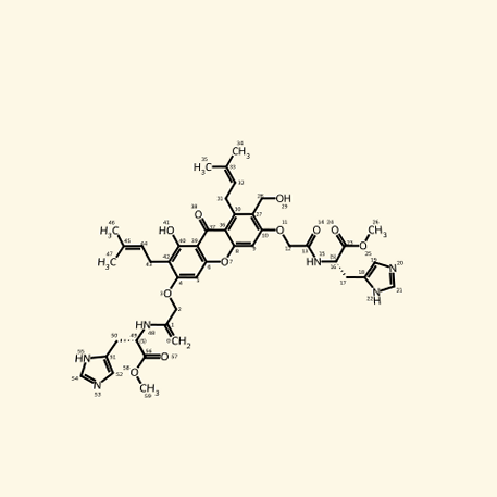 C=C(COc1cc2oc3cc(OCC(=O)N[C@@H](Cc4cnc[nH]4)C(=O)OC)c(CO)c(CC=C(C)C)c3c(=O)c2c(O)c1CC=C(C)C)N[C@@H](Cc1cnc[nH]1)C(=O)OC